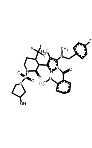 COc1ccccc1C(=O)n1nc(C2C(=O)N(S(=O)(=O)N3CCC(O)C3)CCC2C(F)(F)F)c(C)c1N(C)Cc1ccc(F)cc1